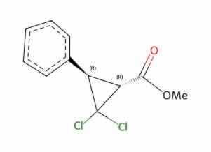 COC(=O)[C@H]1[C@H](c2ccccc2)C1(Cl)Cl